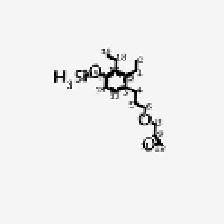 CCc1c(CCCOCC2CO2)ccc(O[SiH3])c1CC